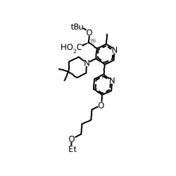 CCOCCCCOc1ccc(-c2cnc(C)c([C@H](OC(C)(C)C)C(=O)O)c2N2CCC(C)(C)CC2)nc1